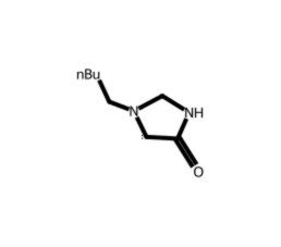 CCCCCN1[C]C(=O)NC1